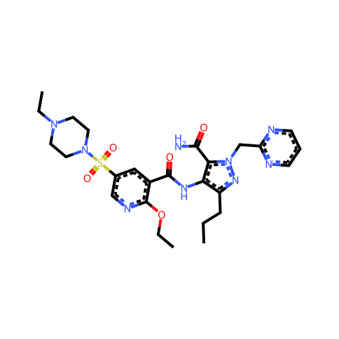 CCCc1nn(Cc2ncccn2)c(C(N)=O)c1NC(=O)c1cc(S(=O)(=O)N2CCN(CC)CC2)cnc1OCC